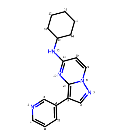 c1cncc(-c2cnn3ccc(NC4CCCCC4)nc23)c1